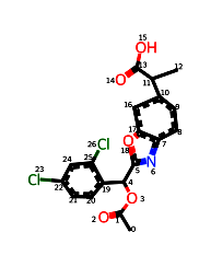 CC(=O)OC(c1nc2ccc(C(C)C(=O)O)cc2o1)c1ccc(Cl)cc1Cl